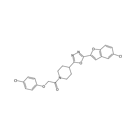 O=C(COc1ccc(Cl)cc1)N1CCC(c2nnc(-c3cc4cc(Cl)ccc4o3)o2)CC1